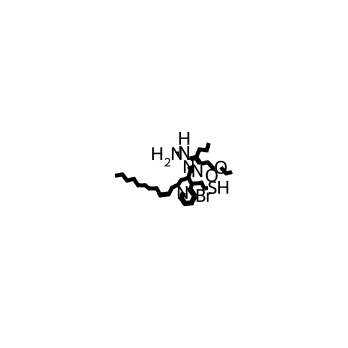 CCCCCCCC/C=C\CCCC(c1nc(CC(=O)OCC)c(CCC)c(NN)n1)C(CCS)c1ncccc1Br